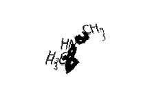 C/C=C/c1ccc(Nc2ccc3c(c2)C(C)(C)c2ccccc2-3)cc1